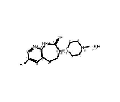 O=C1Nc2ncc(Br)cc2CC[C@@H]1N1CCN(C(=O)O)CC1